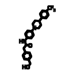 O=C(Cc1ccc(CO)cc1)Nc1ccc(N2CCC(c3ccc(C(F)(F)F)cc3)CC2)cc1